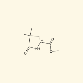 COC(=O)[C@@H](CC(C)(C)C)NC=O